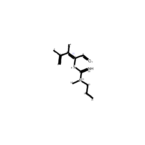 C=C(C)/C(C)=C(/C=O)SC(=N)N(C)CCC